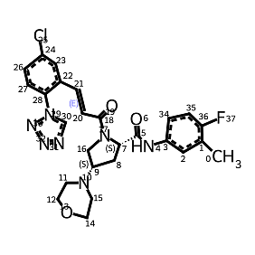 Cc1cc(NC(=O)[C@@H]2C[C@H](N3CCOCC3)CN2C(=O)/C=C/c2cc(Cl)ccc2-n2cnnn2)ccc1F